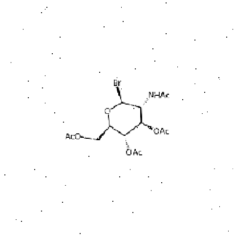 CC(=O)N[C@@H]1[C@@H](OC(C)=O)[C@H](OC(C)=O)[C@@H](COC(C)=O)O[C@H]1Br